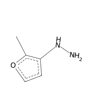 Cc1occc1NN